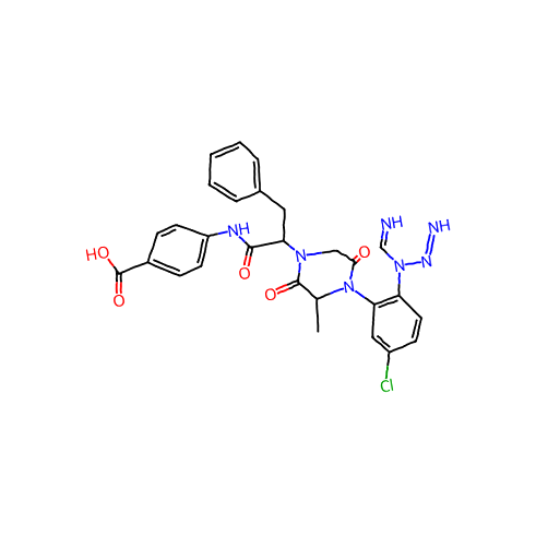 CC1C(=O)N(C(Cc2ccccc2)C(=O)Nc2ccc(C(=O)O)cc2)CC(=O)N1c1cc(Cl)ccc1N(C=N)N=N